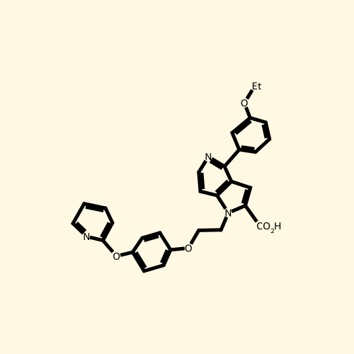 CCOc1cccc(-c2nccc3c2cc(C(=O)O)n3CCOc2ccc(Oc3ccccn3)cc2)c1